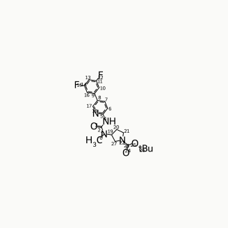 CN(C(=O)Nc1ccc(-c2cc(F)cc(F)c2)cn1)C1CCN(C(=O)OC(C)(C)C)C1